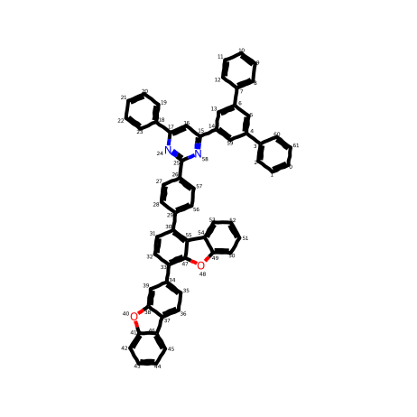 c1ccc(-c2cc(-c3ccccc3)cc(-c3cc(-c4ccccc4)nc(-c4ccc(-c5ccc(-c6ccc7c(c6)oc6ccccc67)c6oc7ccccc7c56)cc4)n3)c2)cc1